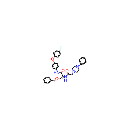 O=C(CN1CCN(c2ccccc2)CC1)N[C@@H](COCc1ccccc1)C(=O)Nc1ccc(Oc2ccc(F)cc2)cc1